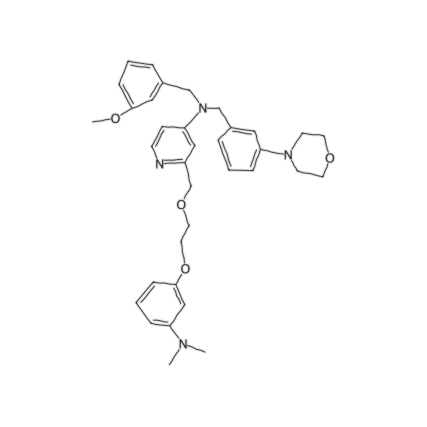 COc1cccc(CN(Cc2cccc(N3CCOCC3)c2)c2ccnc(COCCOc3cccc(N(C)C)c3)c2)c1